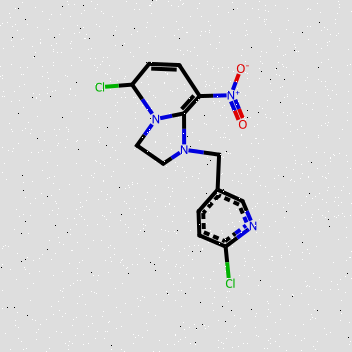 O=[N+]([O-])C1=C2N(Cc3ccc(Cl)nc3)CCN2C(Cl)C=C1